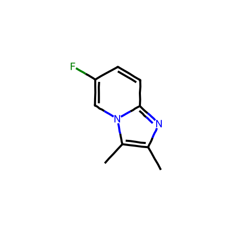 Cc1nc2ccc(F)cn2c1C